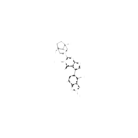 Cn1cc2c(Cl)c(-c3c[nH]c4nc(N5C[C@H]6CC[C@@H](C5)[C@@H]6N)n(C)c(=O)c34)ccc2n1